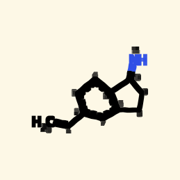 C=Cc1ccc2c(c1)CCC2=N